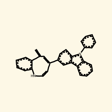 C=C1/C=C(c2ccc3c(c2)c2ccccc2n3-c2ccccc2)\C=C/Nc2ccccc21